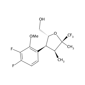 COc1c([C@H]2[C@H](CO)O[C@@](C)(C(F)(F)F)[C@H]2C)ccc(F)c1F